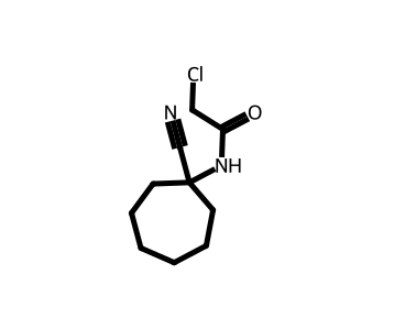 N#CC1(NC(=O)CCl)CCCCCC1